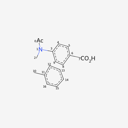 CC(=O)N(C)c1ccc(C(=O)O)cc1.Cc1ccccc1